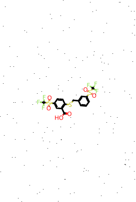 O=C(O)c1cc(S(=O)(=O)C(F)(F)F)ccc1SCc1cccc(S(=O)(=O)C(F)(F)F)c1